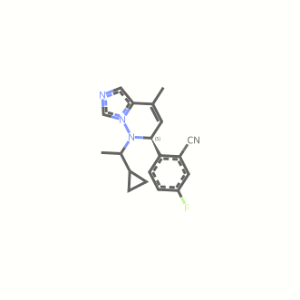 CC1=C[C@@H](c2ccc(F)cc2C#N)N(C(C)C2CC2)n2cncc21